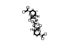 O=C1N2C[C@@H](CC[C@H]2C(Cl)Cl)N1OS(=O)(=O)ON1C(=O)N2C[C@H]1CC[C@H]2C(Cl)Cl